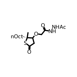 CCCCCCCC[C@@]1(C)SC(=O)CC1OCC(=O)NNC(C)=O